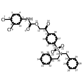 O=C(Nc1ccc(Cl)c(Cl)c1)OCC(=O)c1ccc(S(=O)(=O)N(Cc2ccccc2)Cc2ccccc2)cc1